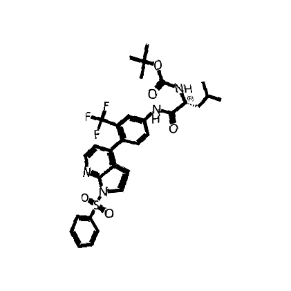 CC(C)C[C@@H](NC(=O)OC(C)(C)C)C(=O)Nc1ccc(-c2ccnc3c2ccn3S(=O)(=O)c2ccccc2)c(C(F)(F)F)c1